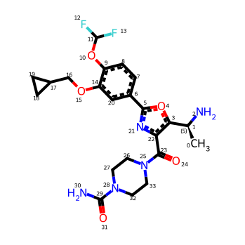 C[C@H](N)c1oc(-c2ccc(OC(F)F)c(OCC3CC3)c2)nc1C(=O)N1CCN(C(N)=O)CC1